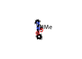 CNC(=O)N(CCOc1ccccc1)CCN1CCCC1